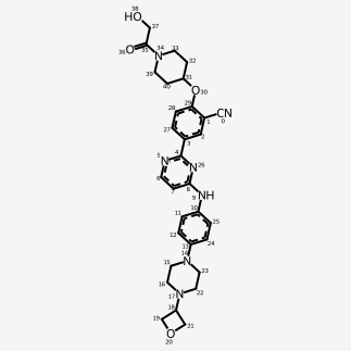 N#Cc1cc(-c2nccc(Nc3ccc(N4CCN(C5COC5)CC4)cc3)n2)ccc1OC1CCN(C(=O)CO)CC1